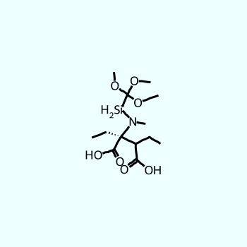 CCC(C(=O)O)[C@@](CC)(C(=O)O)N(C)[SiH2]C(OC)(OC)OC